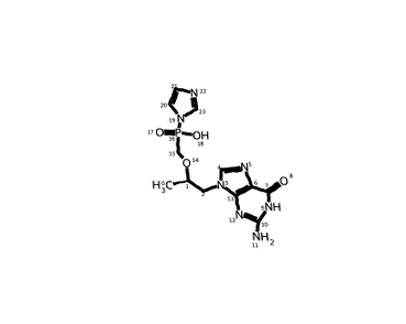 C[C@H](Cn1cnc2c(=O)[nH]c(N)nc21)OCP(=O)(O)n1ccnc1